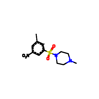 Cc1[c]c(S(=O)(=O)N2CCN(C)CC2)cc([N+](=O)[O-])c1